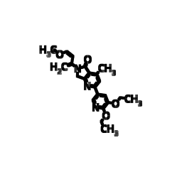 C=C(/C=C\OC)N1Cc2nc(-c3cnc(OCC)c(OCC)c3)cc(C)c2C1=O